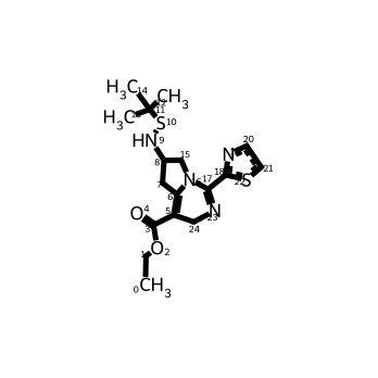 CCOC(=O)C1=C2CC(NSC(C)(C)C)CN2C(c2nccs2)=NC1